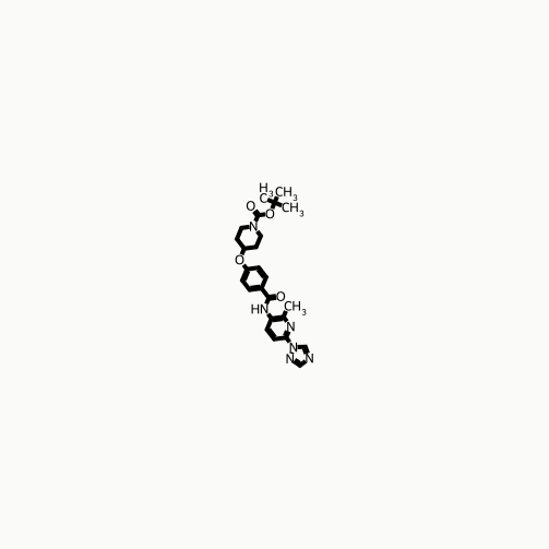 Cc1nc(-n2cncn2)ccc1NC(=O)c1ccc(OC2CCN(C(=O)OC(C)(C)C)CC2)cc1